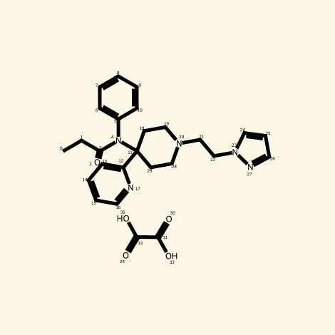 CCC(=O)N(c1ccccc1)C1(c2ccccn2)CCN(CCn2cccn2)CC1.O=C(O)C(=O)O